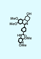 COc1ccc(NC(=O)c2ccc(C3=NC4CCC(O)CC4c4cc(OC)c(OC)cc43)cc2)c(OC)n1